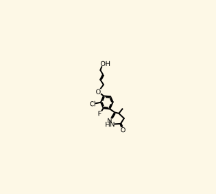 CC1CC(=O)NN=C1c1ccc(OC/C=C/CO)c(Cl)c1F